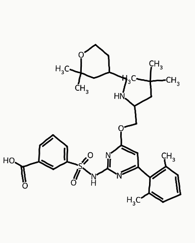 Cc1cccc(C)c1-c1cc(OCC(CC(C)(C)C)NCC2CCOC(C)(C)C2)nc(NS(=O)(=O)c2cccc(C(=O)O)c2)n1